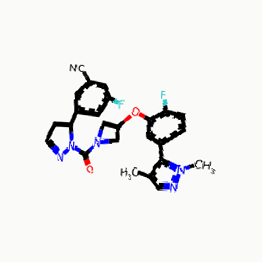 Cc1cnn(C)c1-c1ccc(F)c(OC2CN(C(=O)N3N=CCC3c3cc(F)cc(C#N)c3)C2)c1